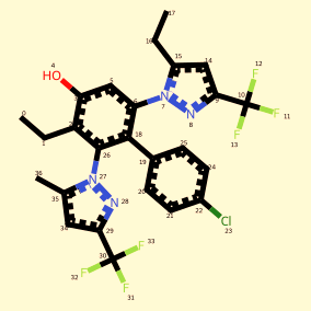 CCc1c(O)cc(-n2nc(C(F)(F)F)cc2CC)c(-c2ccc(Cl)cc2)c1-n1nc(C(F)(F)F)cc1C